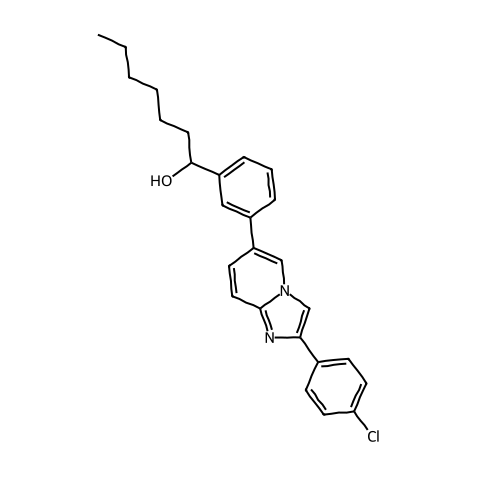 CCCCCCC(O)c1cccc(-c2ccc3nc(-c4ccc(Cl)cc4)cn3c2)c1